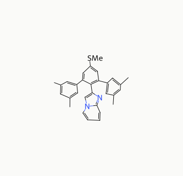 CSc1cc(-c2cc(C)cc(C)c2)c(-c2cn3ccccc3n2)c(-c2cc(C)cc(C)c2)c1